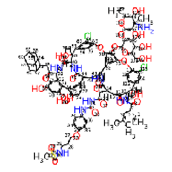 CC[C@H](CC(C)C)C(=O)N[C@H]1C(=O)C[C@@H](CC(=O)NC(=O)Nc2ccc(OCCCNS(C)(=O)=O)cc2)C(=O)N[C@H]2C(=O)C[C@H]3C(=O)N[C@H](C(=O)N[C@H](C(=O)CC4C5CC6CC(C5)CC4C6)c4cc(O)cc(O)c4-c4cc3ccc4O)[C@H](O)c3ccc(c(Cl)c3)Oc3cc2cc(c3O[C@@H]2O[C@H](CO)[C@@H](O)[C@H](O)[C@H]2O[C@H]2C[C@](C)(N)[C@H](O)[C@H](C)O2)Oc2ccc(cc2Cl)[C@H]1O